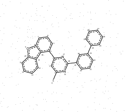 Ic1cc(-c2cccc3oc4ccccc4c23)nc(-c2cccc(-c3ccccc3)c2)n1